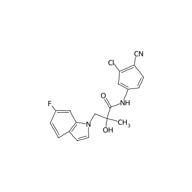 CC(O)(Cn1ccc2ccc(F)cc21)C(=O)Nc1ccc(C#N)c(Cl)c1